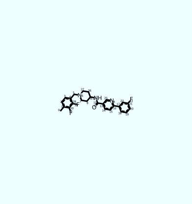 Cc1ccc(CN2CCC(NC(=O)c3ccc(-c4cccc(F)c4)nc3)CC2)c(F)c1F